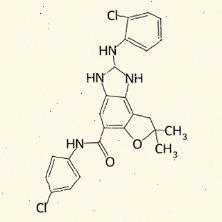 CC1(C)Cc2c3c(cc(C(=O)Nc4ccc(Cl)cc4)c2O1)NC(Nc1ccccc1Cl)N3